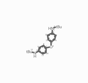 CC(C)(C)Nc1ccc(Oc2ccc(NC(C)(C)C)cc2)cc1